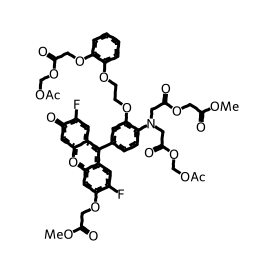 COC(=O)COC(=O)CN(CC(=O)OCOC(C)=O)c1ccc(-c2c3cc(F)c(=O)cc-3oc3cc(OCC(=O)OC)c(F)cc23)cc1OCCOc1ccccc1OCC(=O)OCOC(C)=O